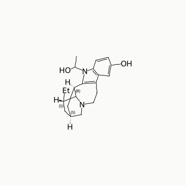 CC[C@H]1C[C@H]2C[C@H]3c4c(c5cc(O)ccc5n4C(C)O)CCN(C2)C13